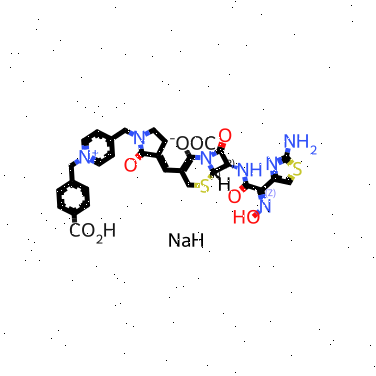 Nc1nc(/C(=N/O)C(=O)N[C@@H]2C(=O)N3C(C(=O)[O-])=C(C=C4CCN(Cc5cc[n+](Cc6ccc(C(=O)O)cc6)cc5)C4=O)CS[C@H]23)cs1.[NaH]